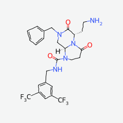 NCC[C@H]1C(=O)N(Cc2ccccc2)C[C@@H]2N(C(=O)NCc3cc(C(F)(F)F)cc(C(F)(F)F)c3)CCC(=O)N21